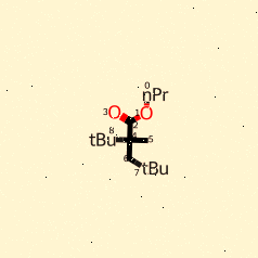 CCCOC(=O)C(C)(CC(C)(C)C)C(C)(C)C